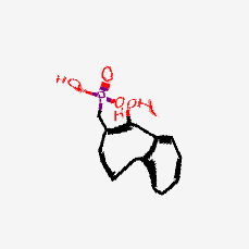 O=P(O)(O)Cc1ccc2ccccc2c1O